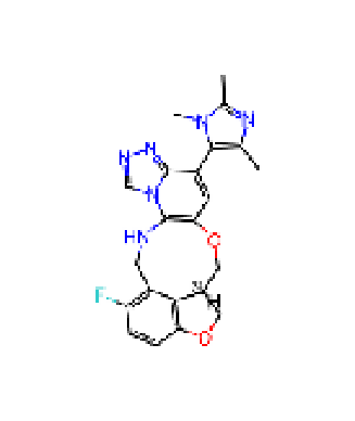 Cc1nc(C)n(C)c1-c1cc2c(n3cnnc13)NCc1c(F)ccc3c1[C@H](CO3)CO2